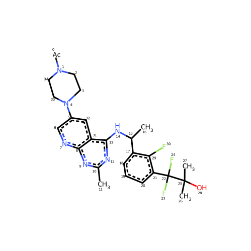 CC(=O)N1CCN(c2cnc3nc(C)nc(NC(C)c4cccc(C(F)(F)C(C)(C)O)c4F)c3c2)CC1